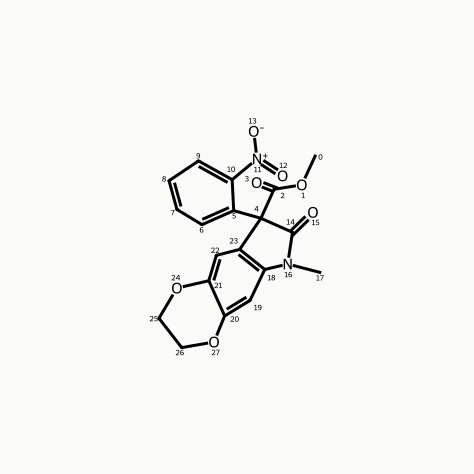 COC(=O)C1(c2ccccc2[N+](=O)[O-])C(=O)N(C)c2cc3c(cc21)OCCO3